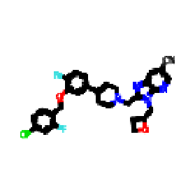 N#Cc1cnc2c(c1)nc(CN1CC=C(c3ccc(F)c(OCc4ccc(Cl)cc4F)c3)CC1)n2CC1CCO1